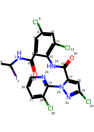 CC(I)NC(=O)c1cc(Cl)cc(Cl)c1NC(=O)c1cc(Cl)nn1-c1ncccc1Cl